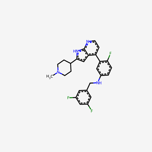 CN1CCC(c2cc3c(-c4cc(NCc5cc(F)cc(F)c5)ccc4F)ccnc3[nH]2)CC1